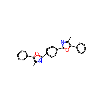 Cc1nc(-c2ccc(-c3nc(C)c(-c4ccccc4)o3)cc2)oc1-c1ccccc1